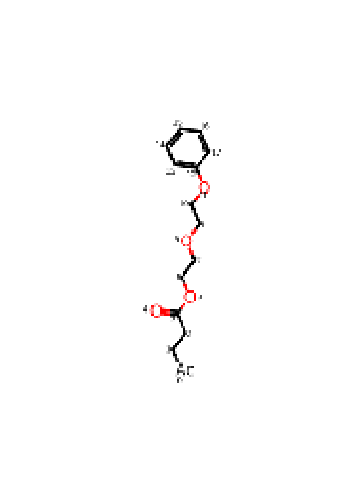 CC(=O)CCC(=O)OCCOCCOc1ccccc1